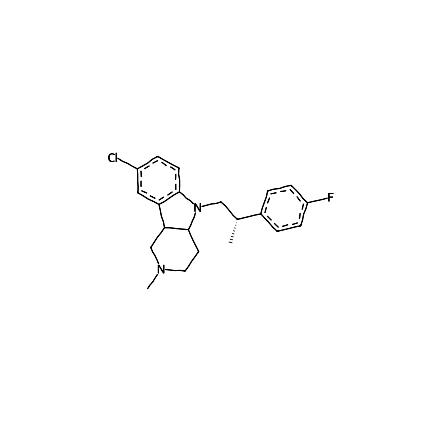 C[C@H](CN1c2ccc(Cl)cc2C2CN(C)CCC21)c1ccc(F)cc1